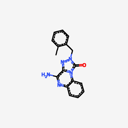 Cc1ccccc1Cn1nc2c(N)nc3ccccc3n2c1=O